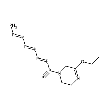 CCOC1=NCCN(P(#P)P=PP=PP=PP)C1